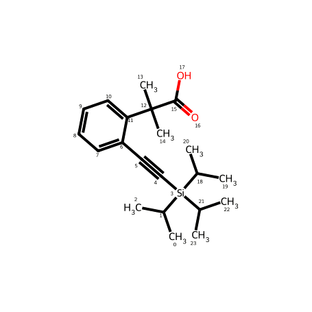 CC(C)[Si](C#Cc1ccccc1C(C)(C)C(=O)O)(C(C)C)C(C)C